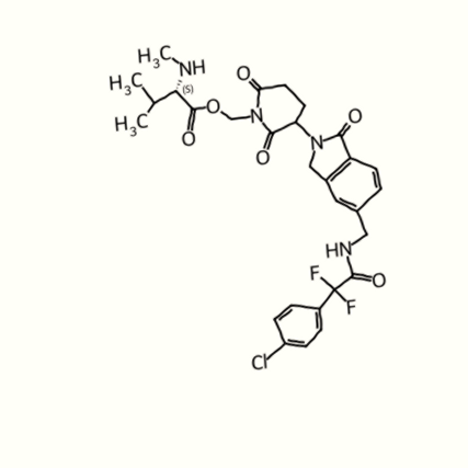 CN[C@H](C(=O)OCN1C(=O)CCC(N2Cc3cc(CNC(=O)C(F)(F)c4ccc(Cl)cc4)ccc3C2=O)C1=O)C(C)C